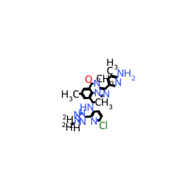 [2H]C([2H])([2H])n1nnc(-c2nc(Cl)ccc2NC(C)c2cc(C)cc3c(=O)n(C)c4c(-c5cnc(N)c(C)c5)ncn4c23)n1